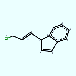 ClC/C=C/C1C=[C]c2ccccc21